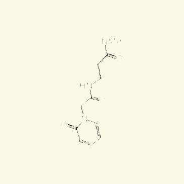 CNC(=O)CCNC(=O)Cn1ccccc1=O